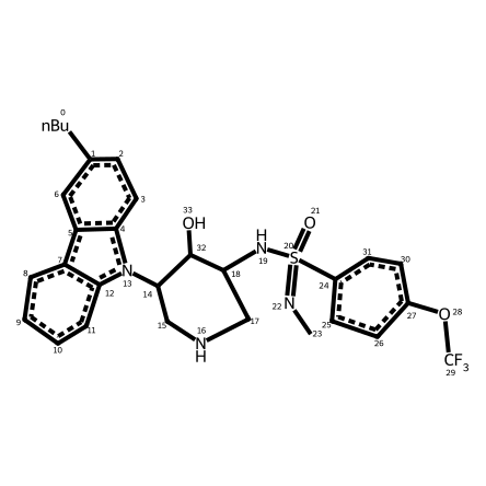 CCCCc1ccc2c(c1)c1ccccc1n2C1CNCC(NS(=O)(=NC)c2ccc(OC(F)(F)F)cc2)C1O